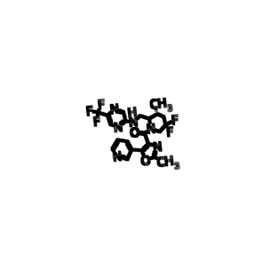 Cc1nc(C(=O)N2CC(F)(F)C[C@@H](C)C2CNc2cnc(C(F)(F)F)cn2)c(-c2cccnc2)o1